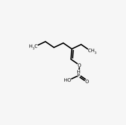 CCCCC(=CO[PH](=O)O)CC